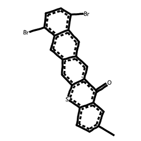 Cc1ccc2sc3cc4cc5c(Br)ccc(Br)c5cc4cc3c(=O)c2c1